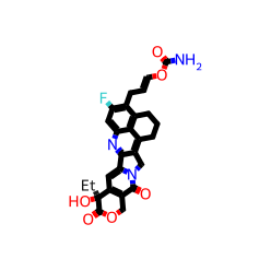 CCC1(O)C(=O)OCc2c1cc1n(c2=O)Cc2c-1nc1cc(F)c(CC=COC(N)=O)c3c1c2CCC3